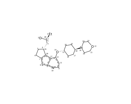 CC[S@+]([O-])C[C@H]1CCc2sc3nccc(O[C@H]4CC[C@H](N5CCOCC5)CC4)c3c21